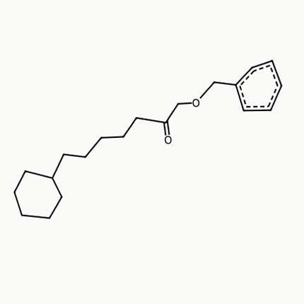 O=C(CCCCCC1CCCCC1)COCc1ccccc1